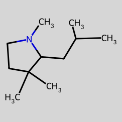 CC(C)CC1N(C)CCC1(C)C